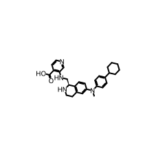 CN(c1ccc(C2CCCCC2)cc1)c1ccc2c(c1)CCN[C@H]2CNc1cnccc1C(=O)O